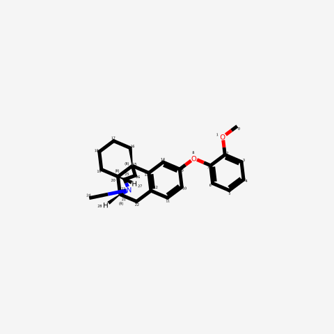 COc1ccccc1Oc1ccc2c(c1)[C@@]13CCCC[C@H]1[C@@H](C2)N(C)CC3